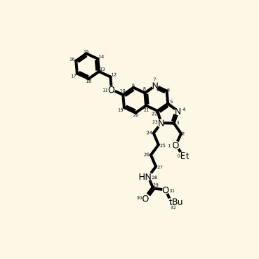 CCOCc1nc2cnc3cc(OCc4ccccc4)ccc3c2n1CCCCNC(=O)OC(C)(C)C